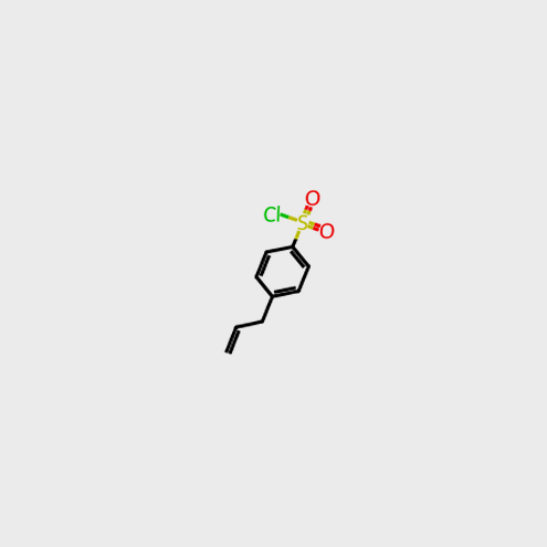 C=CCc1ccc(S(=O)(=O)Cl)cc1